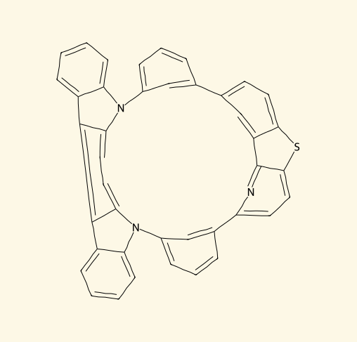 c1ccc2c(c1)c1c3c4ccccc4n4c5cccc(c5)c5ccc6sc7ccc(cc7c6n5)c5cccc(c5)n2c1ccc34